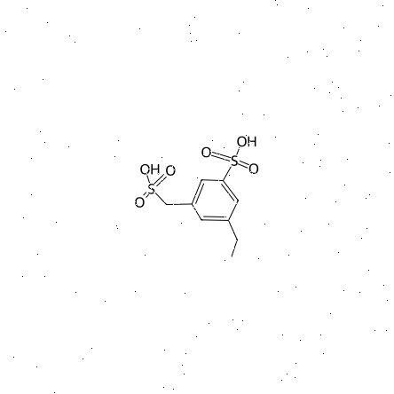 CCc1cc(CS(=O)(=O)O)cc(S(=O)(=O)O)c1